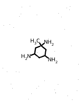 CC1(N)CC(N)CC(N)C1